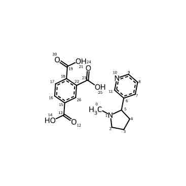 CN1CCCC1c1cccnc1.O=C(O)c1ccc(C(=O)O)c(C(=O)O)c1